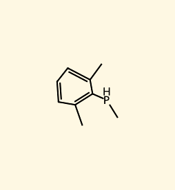 CPc1c(C)cccc1C